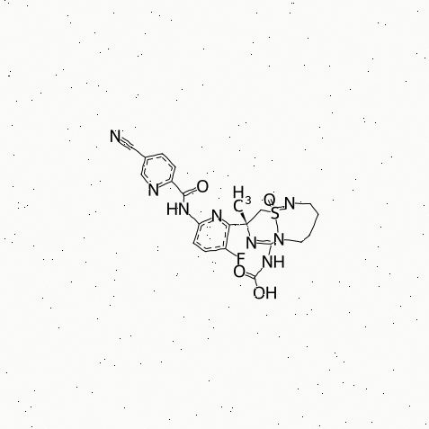 C[C@@]1(c2nc(NC(=O)c3ccc(C#N)cn3)ccc2F)CS2(=O)=NCCCCN2C(NC(=O)O)=N1